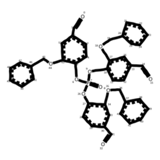 O=Cc1ccc(OP(=O)(Oc2ccc(C=O)cc2OCc2ccccc2)Oc2ccc(C=O)cc2OCc2ccccc2)c(OCc2ccccc2)c1